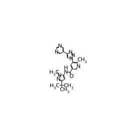 Cc1ncc(C(=O)Nc2cc(C(C)(C)C)nn2C)cc1-n1cc(-c2cncnc2)nn1